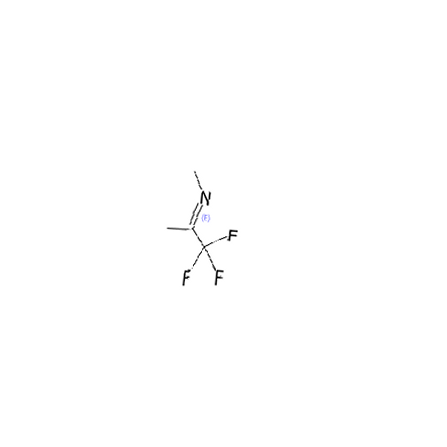 C/N=C(\C)C(F)(F)F